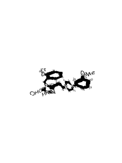 CCOc1ccccc1CN1C(CCN2CCN(c3cccc(OC)c3)CC2)=NNC1C=O